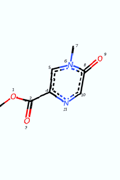 COC(=O)c1cn(C)c(=O)cn1